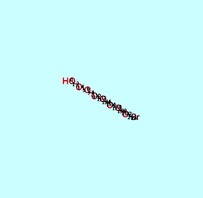 OCCOCCOCCOCCOCCOCCOCCOCCBr